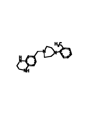 Cc1ccccc1N1CCN(Cc2ccc3c(c2)NCCN3)CC1